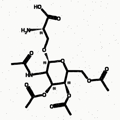 CC(=O)NC1[C@H](OC[C@H](N)C(=O)O)OC(COC(C)=O)[C@@H](OC(C)=O)[C@H]1OC(C)=O